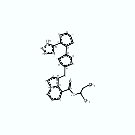 CCC(C)OC(=O)c1cccn2ncc(Cc3ccc(-c4ccccc4-c4nnn[nH]4)cc3)c12